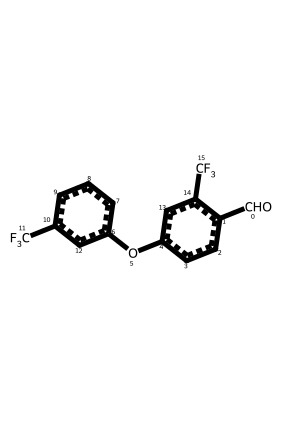 O=Cc1ccc(Oc2cccc(C(F)(F)F)c2)cc1C(F)(F)F